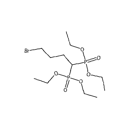 CCOP(=O)(OCC)C(CCCBr)P(=O)(OCC)OCC